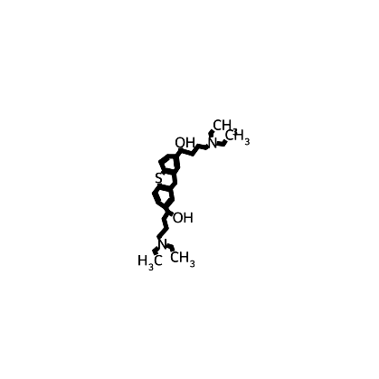 CCN(CC)CCCC(O)c1ccc2c(c1)Cc1cc(C(O)CCCN(CC)CC)ccc1S2